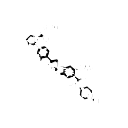 COc1cc2c(cc1C(=O)NC1CCN(C)CC1)sc1nc(-c3ccc([C@H]4CCCN4C(=O)OC(C)(C)C)cc3F)cn12